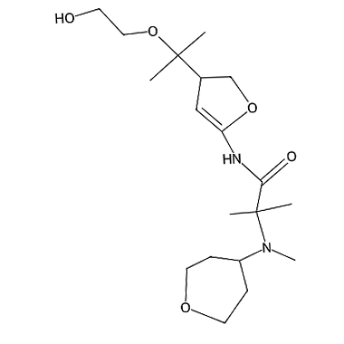 CN(C1CCOCC1)C(C)(C)C(=O)NC1=CC(C(C)(C)OCCO)CO1